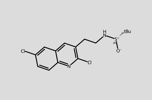 CC(C)(C)[S@+]([O-])NCCc1cc2cc(Cl)ccc2nc1Cl